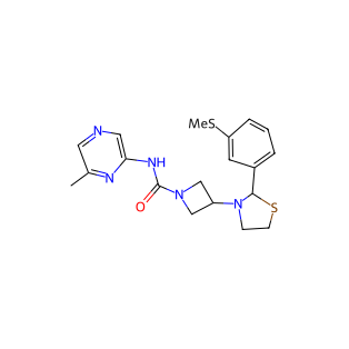 CSc1cccc(C2SCCN2C2CN(C(=O)Nc3cncc(C)n3)C2)c1